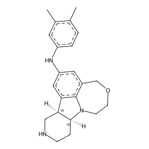 Cc1ccc(Nc2cc3c4c(c2)[C@@H]2CNCC[C@@H]2N4CCOC3)cc1C